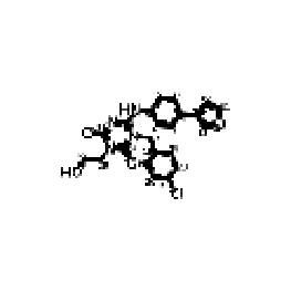 O=c1nc(Nc2ccc(-c3ccoc3)cc2)n(Cc2ccc(Cl)cc2)c(=O)n1CCO